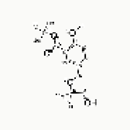 COc1ccc(COC2(CO)CC2)cc1C(=O)OC(C)(C)C